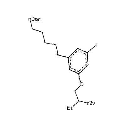 CCCCCCCCCCCCCCCc1cc(I)cc(OCC(CC)CCCC)c1